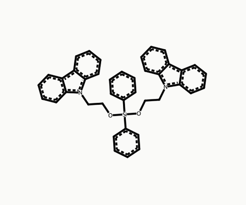 c1ccc([Si](OCCn2c3ccccc3c3ccccc32)(OCCn2c3ccccc3c3ccccc32)c2ccccc2)cc1